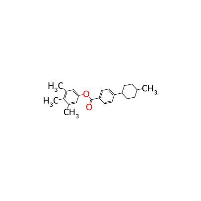 Cc1cc(OC(=O)c2ccc(C3CCC(C)CC3)cc2)cc(C)c1C